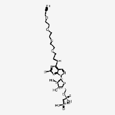 C#CCOCCOCCOCCOCCNc1nc(Cl)nc2c1cnn2[C@@H]1O[C@H](COP(=O)(O)CP(=O)(O)O)[C@@H](O)[C@H]1O